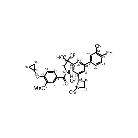 COc1cc(C(=O)NCC(O)(c2cc([C@@]3(C)CCN3Cl)cc(-c3ccc(F)c(Cl)c3)n2)C(F)(F)F)ccc1OC1CC1